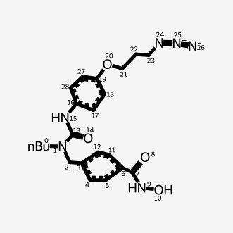 CCCCN(Cc1ccc(C(=O)NO)cc1)C(=O)Nc1ccc(OCCCN=[N+]=[N-])cc1